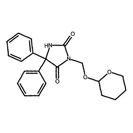 O=C1NC(c2ccccc2)(c2ccccc2)C(=O)N1COC1CCCCO1